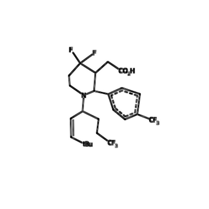 CC(C)(C)/C=C\C(CCC(F)(F)F)N1CCC(F)(F)C(CC(=O)O)C1c1ccc(C(F)(F)F)cc1